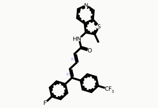 Cc1sc2cnccc2c1NC(=O)/C=C/C=C(/c1ccc(F)cc1)c1ccc(C(F)(F)F)cc1